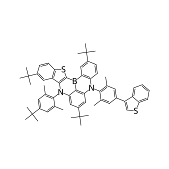 Cc1cc(-c2csc3ccccc23)cc(C)c1N1c2ccc(C(C)(C)C)cc2B2c3sc4ccc(C(C)(C)C)cc4c3N(c3c(C)cc(C(C)(C)C)cc3C)c3cc(C(C)(C)C)cc1c32